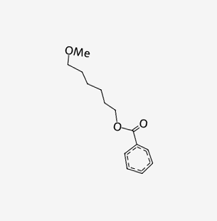 COCCCCCCOC(=O)c1ccccc1